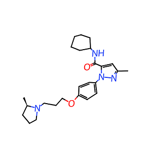 Cc1cc(C(=O)NC2CCCCC2)n(-c2ccc(OCCCN3CCC[C@H]3C)cc2)n1